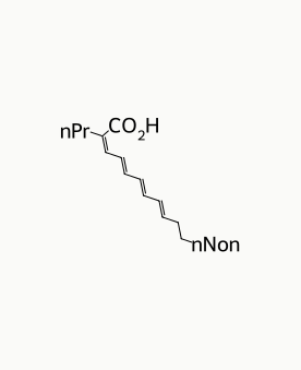 CCCCCCCCCCCC=CC=CC=CC=C(CCC)C(=O)O